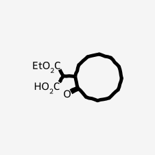 CCOC(=O)C(C(=O)O)C1CCCCCCCCCCC1=O